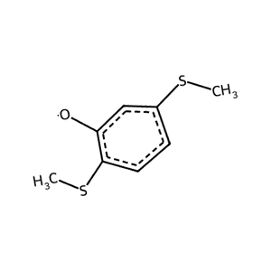 CSc1ccc(SC)c([O])c1